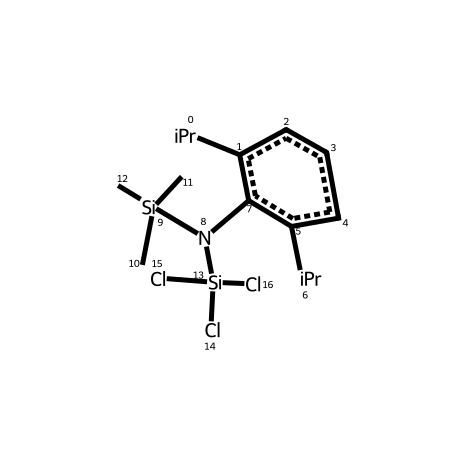 CC(C)c1cccc(C(C)C)c1N([Si](C)(C)C)[Si](Cl)(Cl)Cl